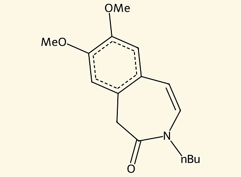 CCCCN1C=Cc2cc(OC)c(OC)cc2CC1=O